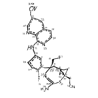 N#CC[C@]12C[C@H]1[C@@](CF)(c1cc(Nc3nccc4cc(C#N)cnc34)ccc1F)N=C(N)S2